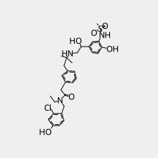 CCN(Cc1ccc(O)cc1Cl)C(=O)Cc1cccc(CC(C)(C)NC[C@@H](O)c2ccc(O)c(NS(C)(=O)=O)c2)c1